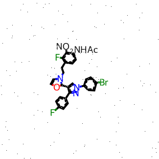 CC(=O)Nc1ccc(CCN2C=COC2c2cn(-c3ccc(Br)cc3)nc2-c2ccc(F)cc2)c(F)c1[N+](=O)[O-]